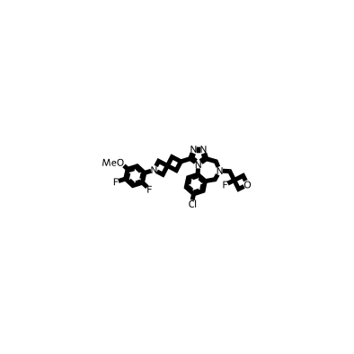 COc1cc(N2CC3(CC(c4nnc5n4-c4ccc(Cl)cc4CN(CC4(F)COC4)C5)C3)C2)c(F)cc1F